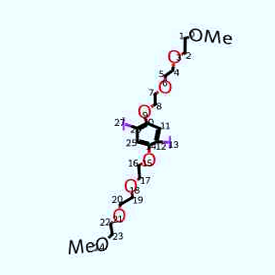 COCCOCCOCCOc1cc(I)c(OCCOCCOCCOC)cc1I